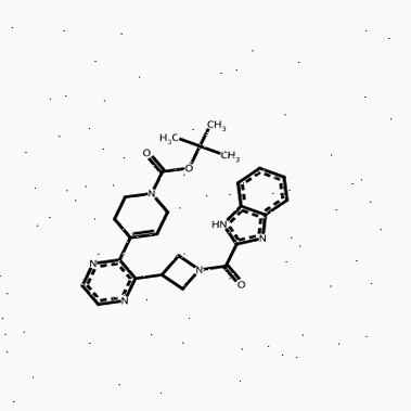 CC(C)(C)OC(=O)N1CC=C(c2nccnc2C2CN(C(=O)c3nc4ccccc4[nH]3)C2)CC1